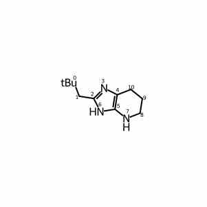 CC(C)(C)Cc1nc2c([nH]1)NCCC2